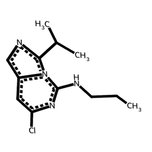 CCCNc1nc(Cl)cc2cnc(C(C)C)n12